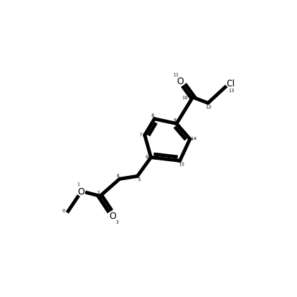 COC(=O)CCc1ccc(C(=O)CCl)cc1